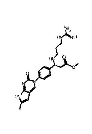 COC(=O)C[C@H](NCCCNC(=N)N)c1ccc(-n2cc3cc(C)[nH]c3nc2=O)cc1